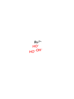 [OH-].[OH-].[OH-].[Ru+3]